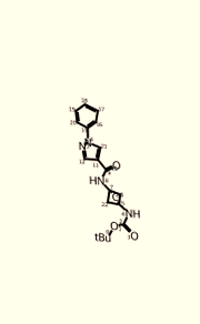 CC(C)(C)OC(=O)NC12CC(NC(=O)c3cnn(-c4ccccc4)c3)(C1)C2